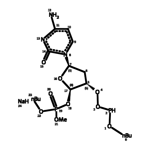 CCCCOPOO[C@H]1C[C@H](n2ccc(N)nc2=O)O[C@@H]1OP(=O)(OC)OCCCC.[NaH]